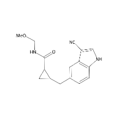 COCNC(=O)C1CC1Cc1ccc2[nH]cc(C#N)c2c1